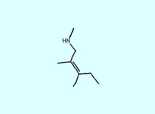 CC/C(C)=C(/C)CNC